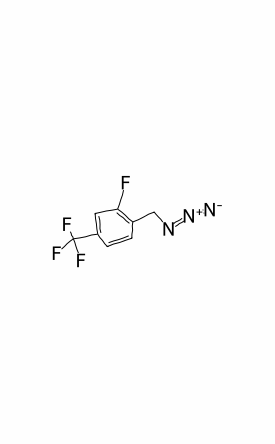 [N-]=[N+]=NCc1ccc(C(F)(F)F)cc1F